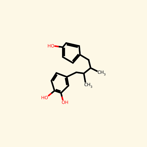 CC(Cc1ccc(O)cc1)C(C)Cc1ccc(O)c(O)c1